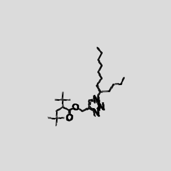 CCCCCCCC(CCCC)n1cc(COC(=O)C(CC(C)(C)C)C(C)(C)C)nn1